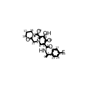 C=C(NC(=O)c1cn2c(c(O)c1=O)C(=O)N1CCCOC1C2)c1ccc(F)cc1